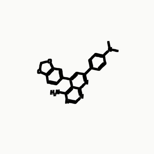 CN(C)c1ccc(-c2cc(-c3ccc4c(c3)OCO4)c3c(N)ncnc3n2)cc1